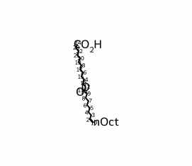 CCCCCCCC/C=C\CCCCCCCC(=O)OCCCCCCCCCCCC(=O)O